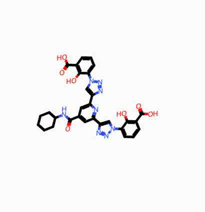 O=C(NC1CCCCC1)c1cc(-c2cn(-c3cccc(C(=O)O)c3O)nn2)nc(-c2cn(-c3cccc(C(=O)O)c3O)nn2)c1